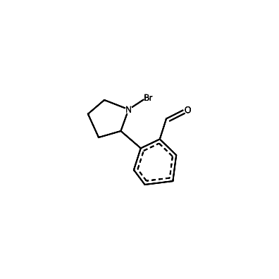 O=Cc1ccccc1C1CCCN1Br